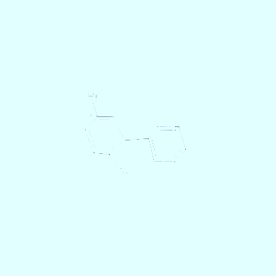 CC(=O)c1ccc(Br)cc1-c1ccccc1